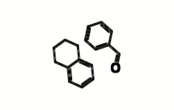 O=Cc1ccccc1.c1ccc2c(c1)CCCC2